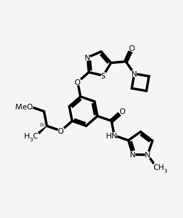 COC[C@H](C)Oc1cc(Oc2ncc(C(=O)N3CCC3)s2)cc(C(=O)Nc2ccn(C)n2)c1